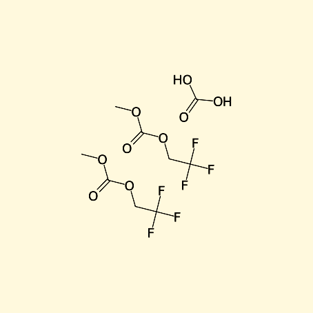 COC(=O)OCC(F)(F)F.COC(=O)OCC(F)(F)F.O=C(O)O